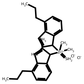 CCCc1cccc2c1C=C(C)[CH]2[Zr+2]([CH3])([CH3])(=[SiH2])[CH]1C(C)=Cc2c(CCC)cccc21.[Cl-].[Cl-]